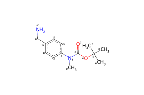 CN(C(=O)OC(C)(C)C)c1ccc(CN)cc1